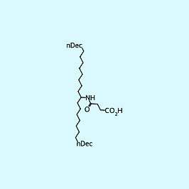 CCCCCCCCCCCCCCCCCCC(CCCCCCCCCCCCCCCCC)NC(=O)CCC(=O)O